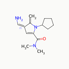 C=c1/c(=C\N)cc(C(=O)N(C)C)n1C1CCCC1